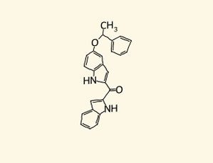 CC(Oc1ccc2[nH]c(C(=O)c3cc4ccccc4[nH]3)cc2c1)c1ccccc1